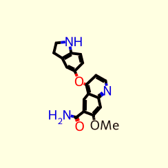 COc1cc2nccc(Oc3ccc4c(c3)CCN4)c2cc1C(N)=O